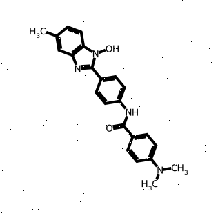 Cc1ccc2c(c1)nc(-c1ccc(NC(=O)c3ccc(N(C)C)cc3)cc1)n2O